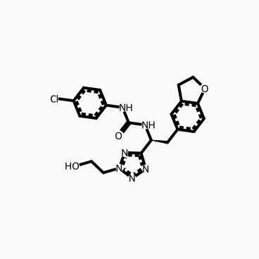 O=C(Nc1ccc(Cl)cc1)N[C@@H](Cc1ccc2c(c1)CCO2)c1nnn(CCO)n1